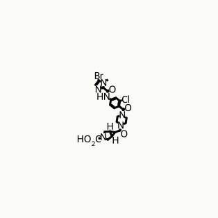 Cn1c(Br)cnc1C(=O)Nc1ccc(C(=O)N2CCN(C(=O)C3[C@H]4CN(C(=O)O)C[C@@H]34)CC2)c(Cl)c1